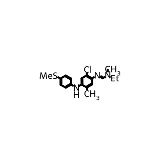 CCN(C)C=Nc1cc(C)c(Nc2ccc(SC)cc2)cc1Cl